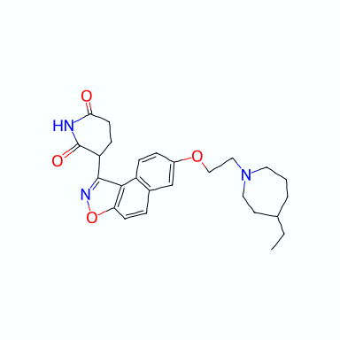 CCC1CCCN(CCOc2ccc3c(ccc4onc(C5CCC(=O)NC5=O)c43)c2)CC1